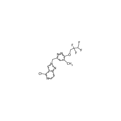 Cc1cc(Cn2cc3c(Cl)nccc3n2)nnc1OCC(F)(F)C(F)F